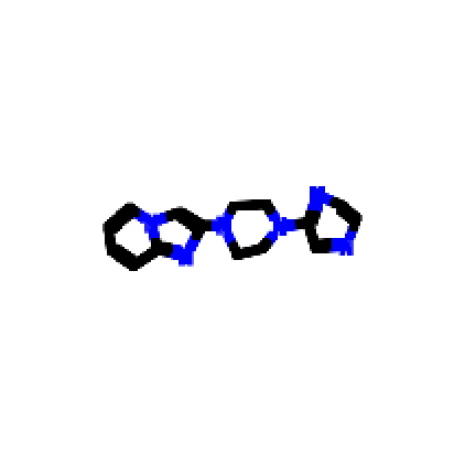 c1ccn2cc(N3CCN(c4cnccn4)CC3)nc2c1